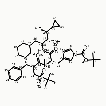 CC(C)(C)OC(=O)n1cnc(C[C@H](NC(=O)[C@H](Cc2ccccc2)CS(=O)(=O)C(C)(C)C)C(=O)N[C@@H](CC2CCCCC2)[C@@H](O)[C@@H](F)C2CC2)c1